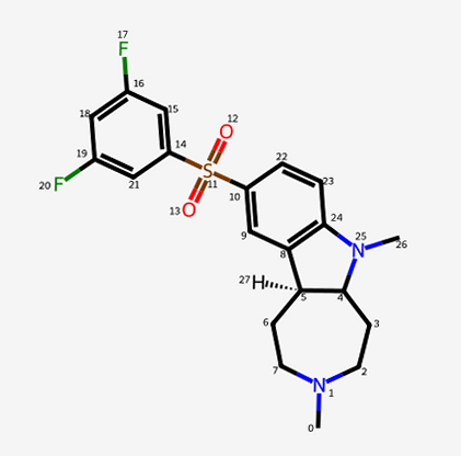 CN1CCC2[C@@H](CC1)c1cc(S(=O)(=O)c3cc(F)cc(F)c3)ccc1N2C